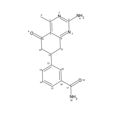 Cc1nc(N)nc2c1C(=O)CC(c1cccc(C(N)=O)c1)C2